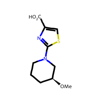 CO[C@H]1CCCN(c2nc(C(=O)O)cs2)C1